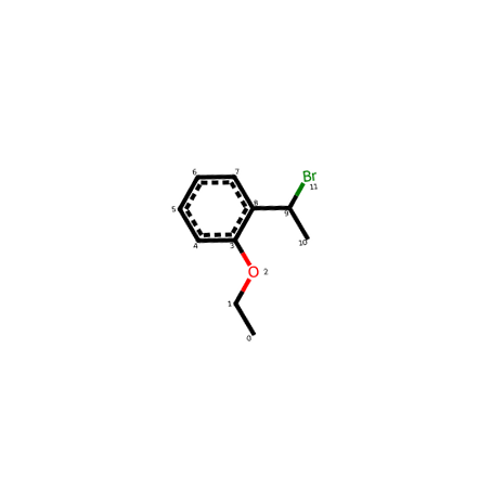 CCOc1ccccc1C(C)Br